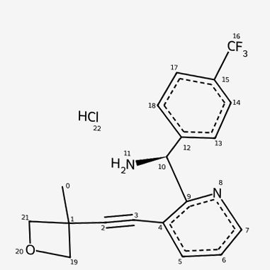 CC1(C#Cc2cccnc2[C@@H](N)c2ccc(C(F)(F)F)cc2)COC1.Cl